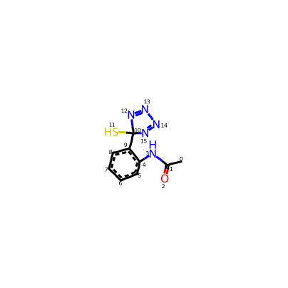 CC(=O)Nc1ccccc1C1(S)N=NN=N1